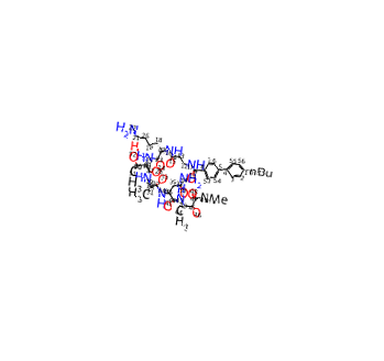 CCCCc1ccc(-c2ccc(C(=O)NCCC(=O)N[C@@H](CCCCN)C(=O)N[C@H](C(=O)N[C@@H](C)C(=O)N[C@@H](CC(N)=O)C(=O)NC(C)C(=O)C(=O)NC)[C@@H](C)O)cc2)cc1